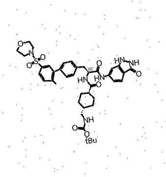 Cc1ccc(S(=O)(=O)N2CCOCC2)cc1-c1ccc(C[C@H](NC(=O)[C@H]2CC[C@H](CNC(=O)OC(C)(C)C)CC2)C(=O)Nc2ccc3c(=O)[nH][nH]c3c2)cc1